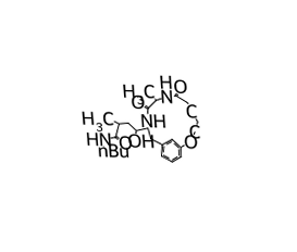 CCCCNC(=O)C(C)CC(O)C1Cc2cccc(c2)OCCCCC(=O)N[C@@H](C)C(=O)N1